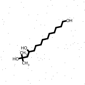 CC(C)(O)CC(O)CCCCCCCCCCO